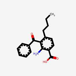 CCCCc1ccc(C(=O)O)c(N)c1C(=O)c1ccccc1